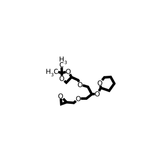 CC1(C)OCC(COCC(COCC2CO2)OC2CCCCO2)O1